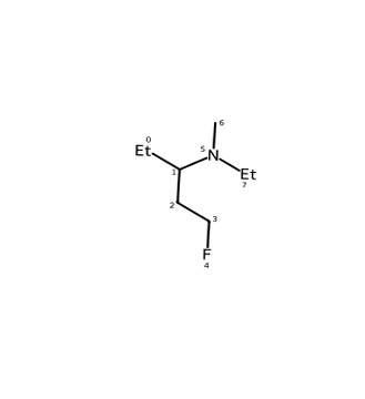 CCC(CCF)N(C)CC